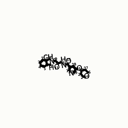 CC12C=CC=CC1CN(C[C@@H](O)CNC(=O)c1cncc(OC3CCOCC3)c1)C2